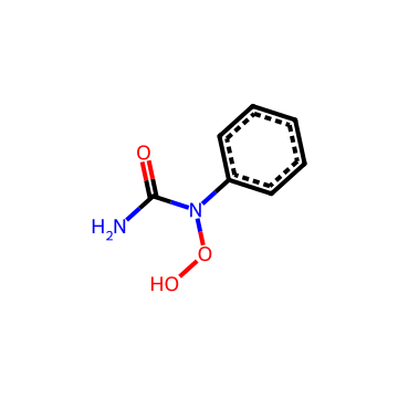 NC(=O)N(OO)c1ccccc1